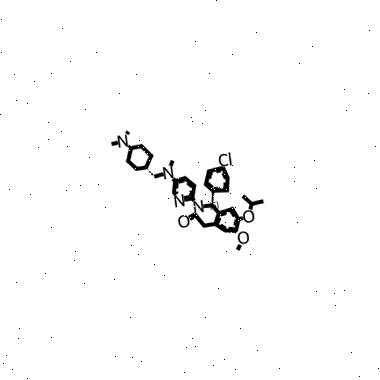 COc1cc2c(cc1OC(C)C)[C@H](c1ccc(Cl)cc1)N(c1ccc(N(C)C[C@H]3CC[C@H](N(C)C)CC3)cn1)C(=O)C2